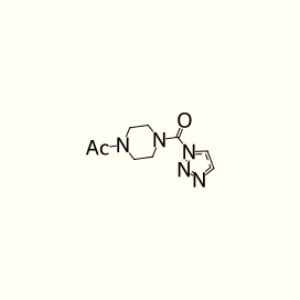 CC(=O)N1CCN(C(=O)n2ccnn2)CC1